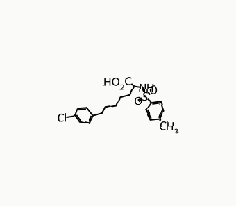 Cc1ccc(S(=O)(=O)NC(CCCCCc2ccc(Cl)cc2)C(=O)O)cc1